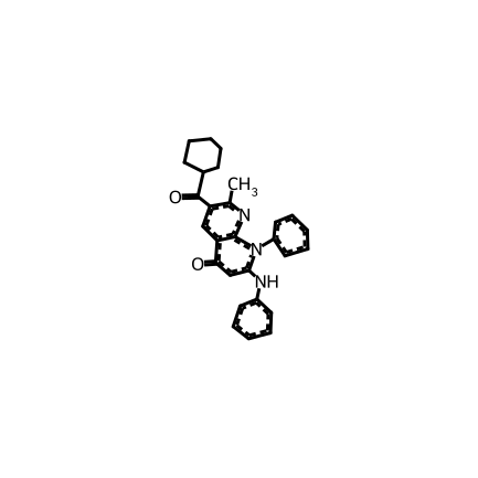 Cc1nc2c(cc1C(=O)C1CCCCC1)c(=O)cc(Nc1ccccc1)n2-c1ccccc1